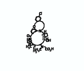 C[C@@H]1[C@@H](C)C[C@@H](N(C)CC(=O)O)C[C@H](O)[C@@H]2CC[C@H]2CN2CCCCc3cc(Cl)ccc3COc3ccc(cc32)C(=O)NS1(=O)=O